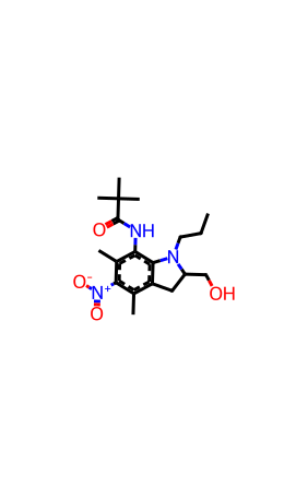 CCCN1c2c(c(C)c([N+](=O)[O-])c(C)c2NC(=O)C(C)(C)C)CC1CO